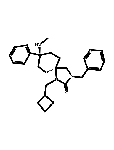 CN[C@]1(c2ccccc2)CC[C@]2(CC1)CN(Cc1cccnc1)C(=O)N2CC1CCC1